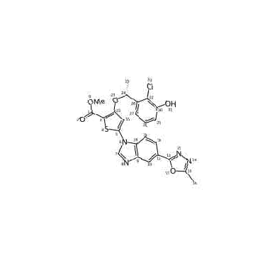 COC(=O)c1sc(-n2cnc3cc(-c4nnc(C)o4)ccc32)cc1O[C@H](C)c1cccc(O)c1Cl